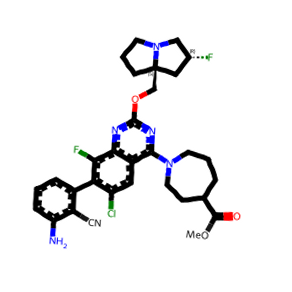 COC(=O)C1CCCN(c2nc(OC[C@@]34CCCN3C[C@H](F)C4)nc3c(F)c(-c4cccc(N)c4C#N)c(Cl)cc23)CC1